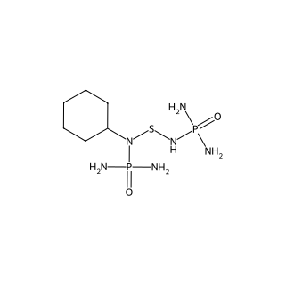 NP(N)(=O)NSN(C1CCCCC1)P(N)(N)=O